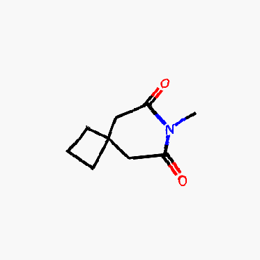 CN1C(=O)CC2(CCC2)CC1=O